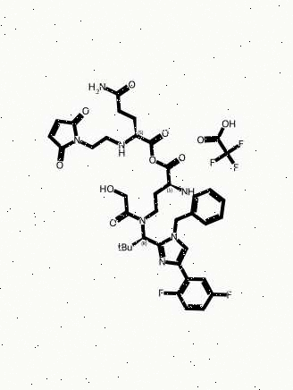 CC(C)(C)[C@H](c1nc(-c2cc(F)ccc2F)cn1Cc1ccccc1)N(CC[C@H](N)C(=O)OC(=O)[C@H](CCC(N)=O)NCCN1C(=O)C=CC1=O)C(=O)CO.O=C(O)C(F)(F)F